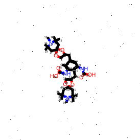 Cc1c(CC2COC3(CC(C)(C)N(C)C(C)(C)C3)O2)cc(NC(=O)O)c(CC2COC3(CC(C)(C)N(C)C(C)(C)C3)O2)c1NC(=O)O